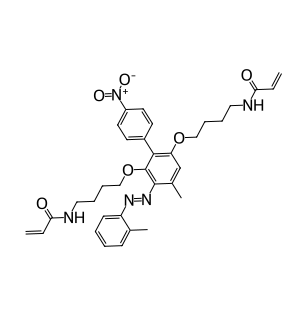 C=CC(=O)NCCCCOc1cc(C)c(N=Nc2ccccc2C)c(OCCCCNC(=O)C=C)c1-c1ccc([N+](=O)[O-])cc1